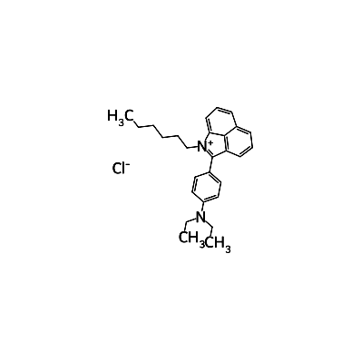 CCCCCC[N+]1=C(c2ccc(N(CC)CC)cc2)c2cccc3cccc1c23.[Cl-]